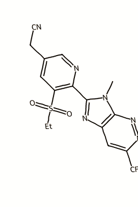 CCS(=O)(=O)c1cc(CC#N)cnc1-c1nc2cc(C(F)(F)F)nnc2n1C